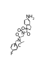 CC(N(Cc1ccc(F)cc1)C(=O)CN1C(=O)O[C@@]2(CCc3cc(N)ccc32)C1=O)C(F)(F)F